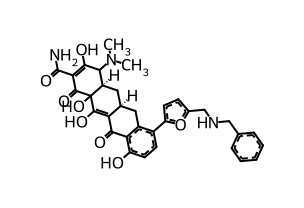 CN(C)C1C(O)=C(C(N)=O)C(=O)C2(O)C(O)=C3C(=O)c4c(O)ccc(-c5ccc(CNCc6ccccc6)o5)c4C[C@@H]3C[C@H]12